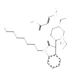 CC[C@H]1CN2CC[C@]3(C(=O)N(CCCCCCCBr)c4ccccc43)[C@H]2C[C@@H]1/C(=C\OC)C(=O)OC